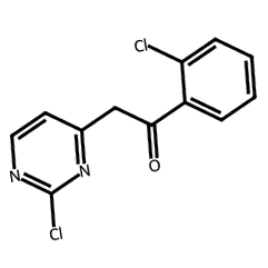 O=C(Cc1ccnc(Cl)n1)c1ccccc1Cl